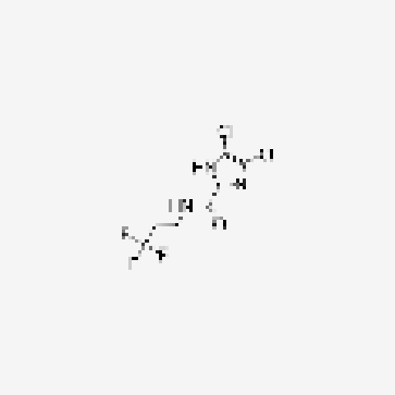 O=C(NCCC(F)(F)F)c1nc(Cl)c(Cl)[nH]1